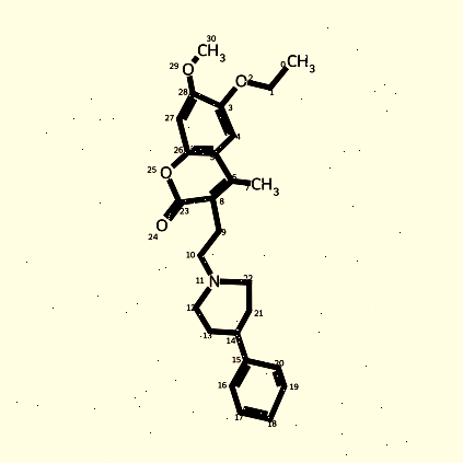 CCOc1cc2c(C)c(CCN3CCC(c4ccccc4)CC3)c(=O)oc2cc1OC